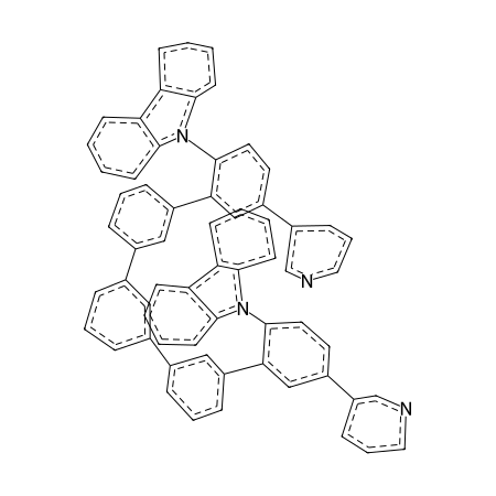 c1cncc(-c2ccc(-n3c4ccccc4c4ccccc43)c(-c3cccc(-c4cccc(-c5cccc(-c6cc(-c7cccnc7)ccc6-n6c7ccccc7c7ccccc76)c5)c4)c3)c2)c1